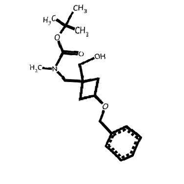 CN(CC1(CO)CC(OCc2ccccc2)C1)C(=O)OC(C)(C)C